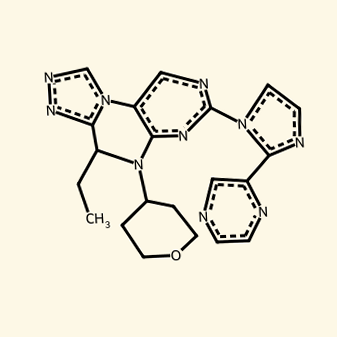 CCC1c2nncn2-c2cnc(-n3ccnc3-c3cnccn3)nc2N1C1CCOCC1